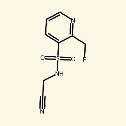 N#CCNS(=O)(=O)c1cccnc1CF